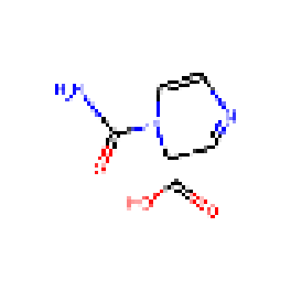 NC(=O)N1C=CN=CC1.O=CO